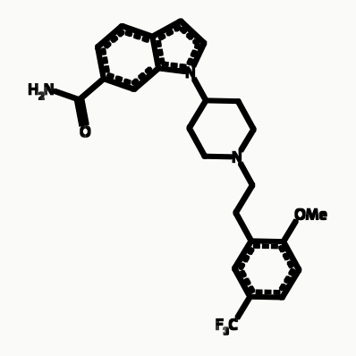 COc1ccc(C(F)(F)F)cc1CCN1CCC(n2ccc3ccc(C(N)=O)cc32)CC1